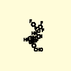 O=Cc1ccc(S(=O)(=O)[C@@]2(CCc3c(F)cncc3NC(=O)C[C@@H](c3ccc(F)cc3)c3cc(F)cc(F)c3)CNCCN2)cc1